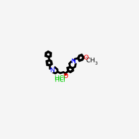 COc1ccc(CN2CCc3ccc(C(=O)CCC4CCN(Cc5ccc(-c6ccccc6)cc5)CC4)cc3CC2)cc1.Cl.Cl